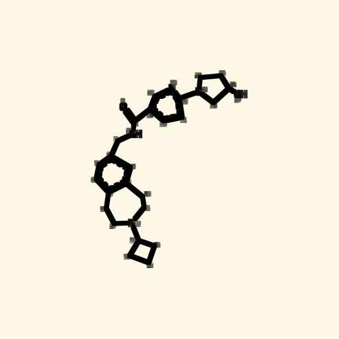 O=C(NCc1ccc2c(c1)CCN(C1CCC1)CC2)c1ccc(N2CCC(O)C2)nc1